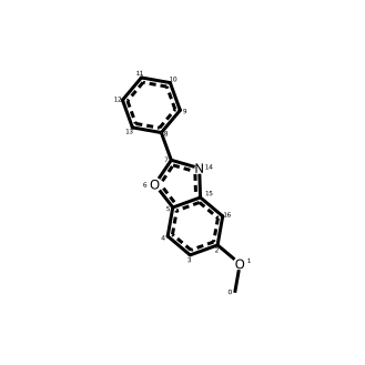 COc1ccc2oc(-c3ccccc3)nc2c1